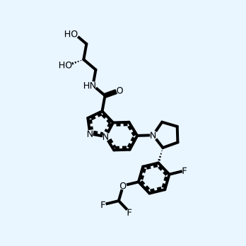 O=C(NC[C@H](O)CO)c1cnn2ccc(N3CCC[C@@H]3c3cc(OC(F)F)ccc3F)cc12